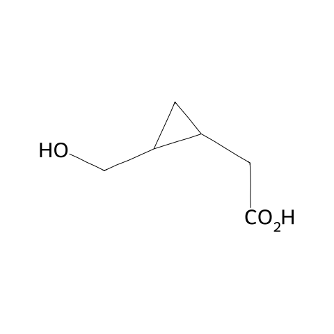 O=C(O)CC1CC1CO